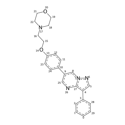 c1ccc(-c2cnn3cc(-c4ccc(OCCN5CCOCC5)cc4)cnc23)cc1